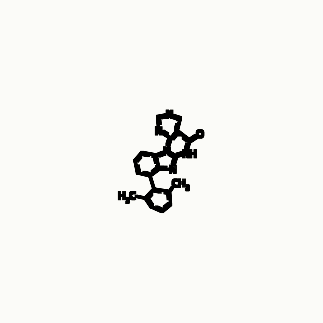 Cc1cccc(C)c1-c1cccc2c1nc1[nH]c(=O)c3cncnc3n12